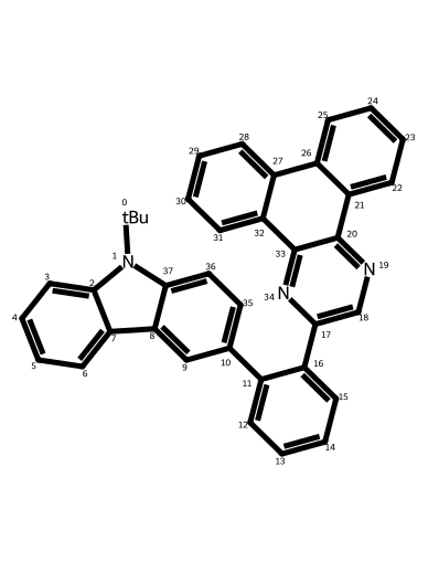 CC(C)(C)n1c2ccccc2c2cc(-c3ccccc3-c3cnc4c5ccccc5c5ccccc5c4n3)ccc21